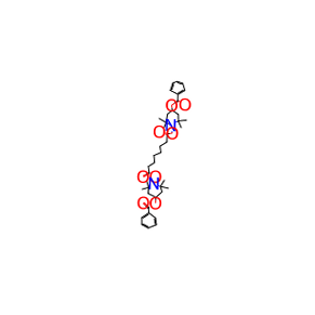 CC1(C)CC(OC(=O)c2ccccc2)CC(C)(C)N1OC(=O)CCCCCCC(=O)ON1C(C)(C)CC(OC(=O)c2ccccc2)CC1(C)C